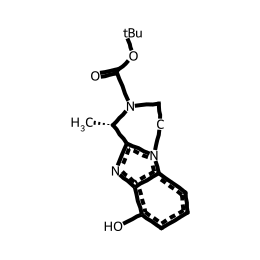 C[C@H]1c2nc3c(O)cccc3n2CCN1C(=O)OC(C)(C)C